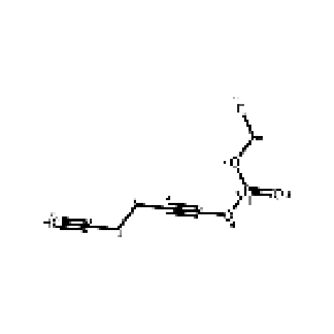 C#CCCC#CO[PH](=O)OCF